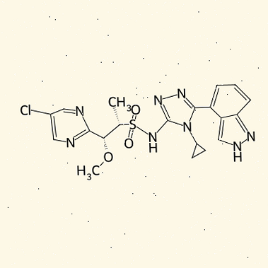 CO[C@H](c1ncc(Cl)cn1)[C@H](C)S(=O)(=O)Nc1nnc(-c2cccc3n[nH]cc23)n1C1CC1